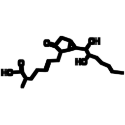 CCCCCC(O)C(O)C1C2CC(=O)C(CC=CCCC(C)C(=O)O)C21